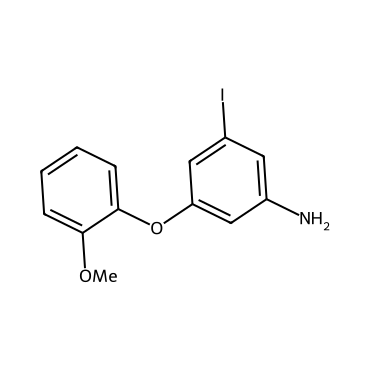 COc1ccccc1Oc1cc(N)cc(I)c1